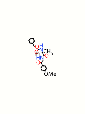 COc1ccc(C(=O)CNC(=O)[C@@](C)(NC(=O)OCc2ccccc2)C(C)C)cc1